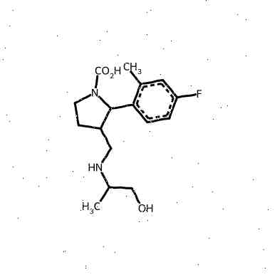 Cc1cc(F)ccc1C1C(CNC(C)CO)CCN1C(=O)O